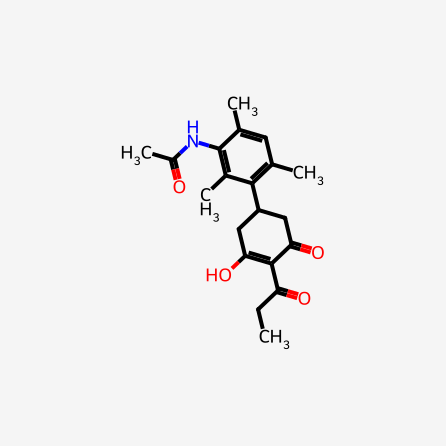 CCC(=O)C1=C(O)CC(c2c(C)cc(C)c(NC(C)=O)c2C)CC1=O